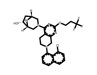 O[C@@H]1C[C@@H]2CN(c3nc(OCCC(F)(F)F)nc4c3CCN(c3cccc5cccc(Cl)c35)C4)C[C@H]1N2